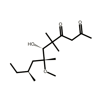 CC[C@H](C)C[C@@](C)(OC)[C@H](O)C(C)(C)C(=O)CC(C)=O